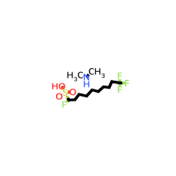 CNC.O=S(=O)(O)C(F)CCCCCCCCC(F)(F)F